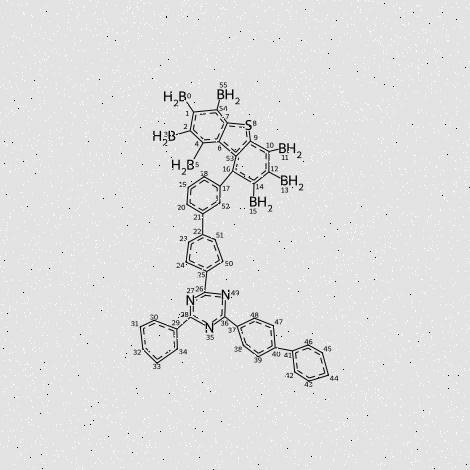 Bc1c(B)c(B)c2c(sc3c(B)c(B)c(B)c(-c4cccc(-c5ccc(-c6nc(-c7ccccc7)nc(-c7ccc(-c8ccccc8)cc7)n6)cc5)c4)c32)c1B